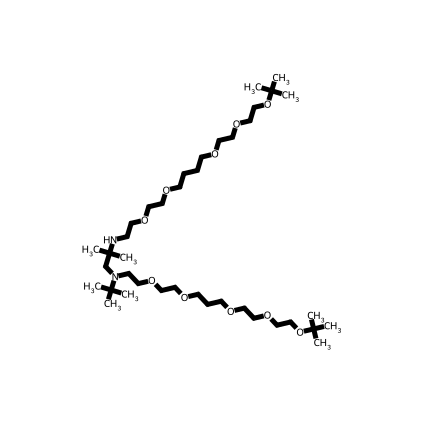 CC(C)(CN(CCOCCOCCCOCCOCCOC(C)(C)C)C(C)(C)C)NCCOCCOCCCCOCCOCCOC(C)(C)C